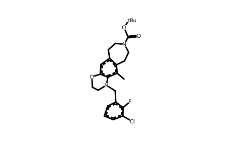 Cc1c2c(cc3c1N(Cc1cccc(Cl)c1F)CCO3)CCN(C(=O)OC(C)(C)C)CC2